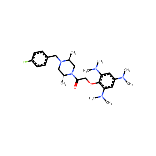 C[C@@H]1CN(Cc2ccc(F)cc2)[C@@H](C)CN1C(=O)COc1c(N(C)C)cc(N(C)C)cc1N(C)C